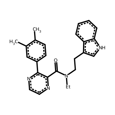 CCN(CCc1c[nH]c2ccccc12)C(=O)c1nccnc1-c1ccc(C)c(C)c1